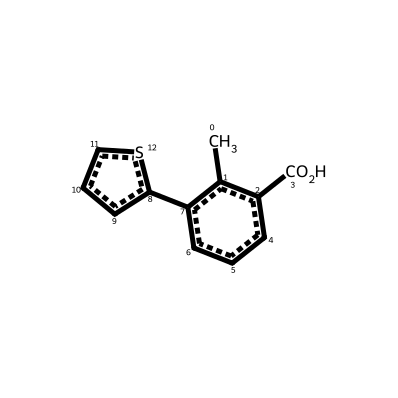 Cc1c(C(=O)O)cccc1-c1cccs1